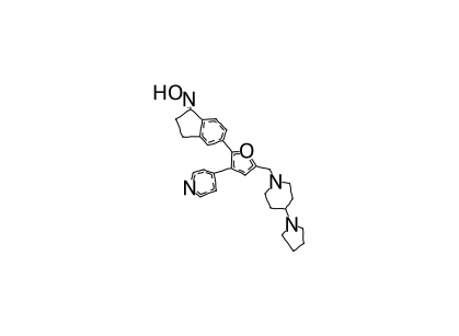 ON=C1CCc2cc(-c3oc(CN4CCC(N5CCCC5)CC4)cc3-c3ccncc3)ccc21